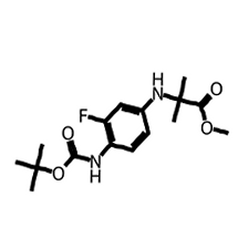 COC(=O)C(C)(C)Nc1ccc(NC(=O)OC(C)(C)C)c(F)c1